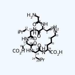 CC(C)C[C@H](NC(=O)CN)C(=O)N[C@@H](CC(C)C)C(=O)N[C@@H](CC(=O)O)C(=O)N[C@@H](CC(C)C)C(=O)N[C@@H](CCCCN)C(=O)O